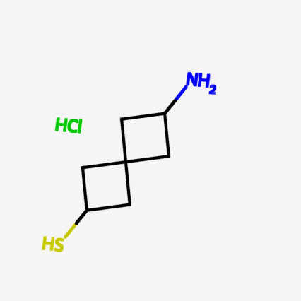 Cl.NC1CC2(C1)CC(S)C2